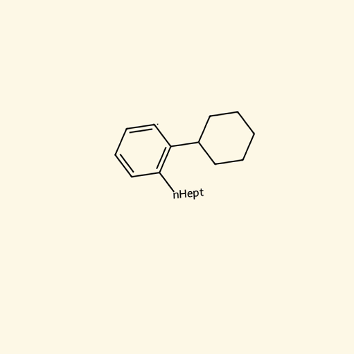 CCCCCCCc1ccc[c]c1C1CCCCC1